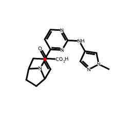 Cn1cc(Nc2nccc(C3=CC4CCC(C3)N4C(=O)C(=O)O)n2)cn1